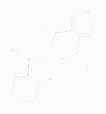 O=C(O)c1ccccc1C(=O)O.O=C1C=CC(=O)c2ccccc21